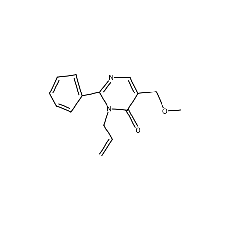 C=CCn1c(-c2ccccc2)ncc(COC)c1=O